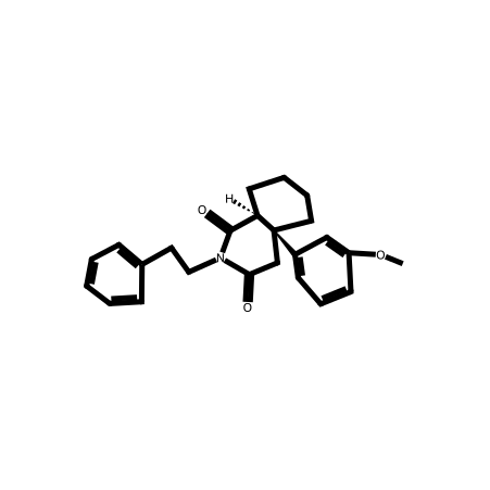 COc1cccc([C@]23CCCC[C@@H]2C(=O)N(CCc2ccccc2)C(=O)C3)c1